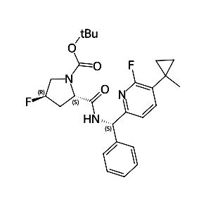 CC(C)(C)OC(=O)N1C[C@H](F)C[C@H]1C(=O)N[C@@H](c1ccccc1)c1ccc(C2(C)CC2)c(F)n1